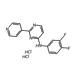 Cl.Cl.Fc1ccc(Nc2ccnc(-c3ccncc3)n2)cc1F